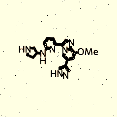 COc1cc(-c2cn[nH]c2)cn2c(-c3cccc(NC4CCNC4)n3)cnc12